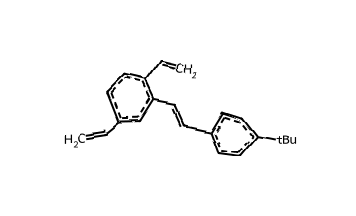 C=Cc1ccc(C=C)c(C=Cc2ccc(C(C)(C)C)cc2)c1